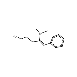 CN(C)C(=Cc1ccccc1)CCCN